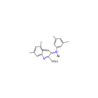 CCCCCCCCC(=Nc1cc(C)cc(C)c1)C(CCCCCC)=[N+]([Ni])c1cc(C)cc(C)c1